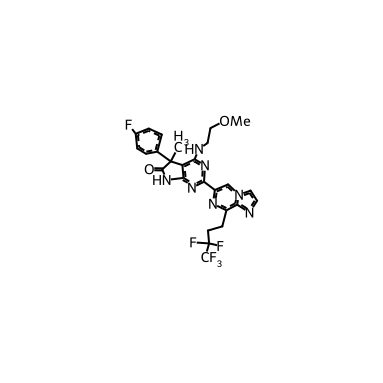 COCCNc1nc(-c2cn3ccnc3c(CCC(F)(F)C(F)(F)F)n2)nc2c1C(C)(c1ccc(F)cc1)C(=O)N2